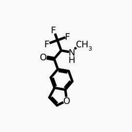 CNC(C(=O)c1ccc2occc2c1)C(F)(F)F